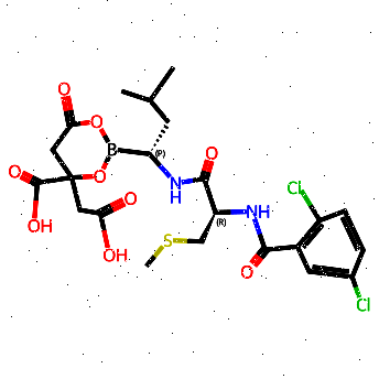 CSC[C@H](NC(=O)c1cc(Cl)ccc1Cl)C(=O)N[C@@H](CC(C)C)B1OC(=O)CC(CC(=O)O)(C(=O)O)O1